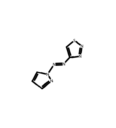 c1cnn(/N=N/c2csnn2)c1